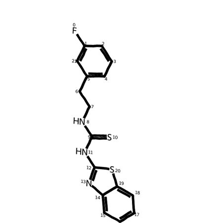 Fc1cccc(CCNC(=S)Nc2nc3ccccc3s2)c1